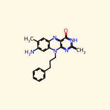 C=c1nc2c(c(=O)[nH]1)=Nc1cc(C)c(N)cc1N2CCCc1ccccc1